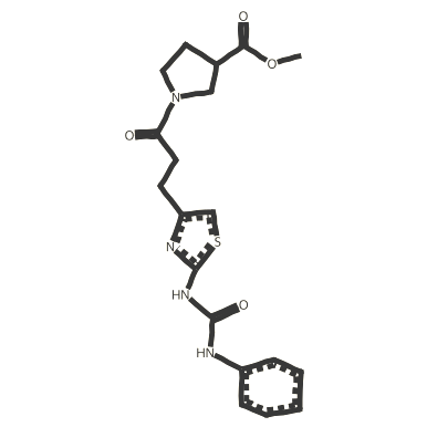 COC(=O)C1CCN(C(=O)CCc2csc(NC(=O)Nc3ccccc3)n2)C1